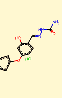 Cl.NC(=O)NN=Cc1ccc(Oc2ccccc2)cc1O